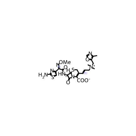 CO/N=C(\C(=O)N[C@@H]1C(=O)N2C(C(=O)[O-])=C(/C=C/C[N+](C)(C)Cc3ocnc3C)CS[C@H]12)c1csc(N)n1